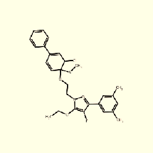 CCOc1c(F)c(-c2cc(C)cc(C)c2)nn1CCOC1(SC)C=CC(c2ccccc2)=CC1Cl